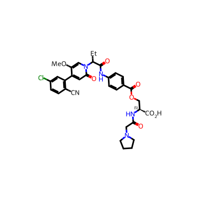 CCC(C(=O)Nc1ccc(C(=O)OC[C@H](NC(=O)CN2CCCC2)C(=O)O)cc1)n1cc(OC)c(-c2cc(Cl)ccc2C#N)cc1=O